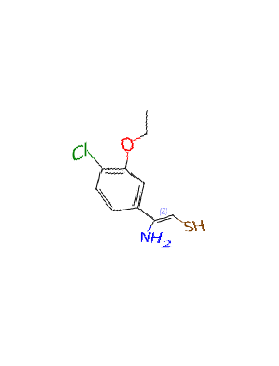 CCOc1cc(/C(N)=C/S)ccc1Cl